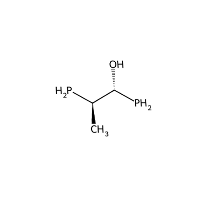 C[C@@H](P)[C@H](O)P